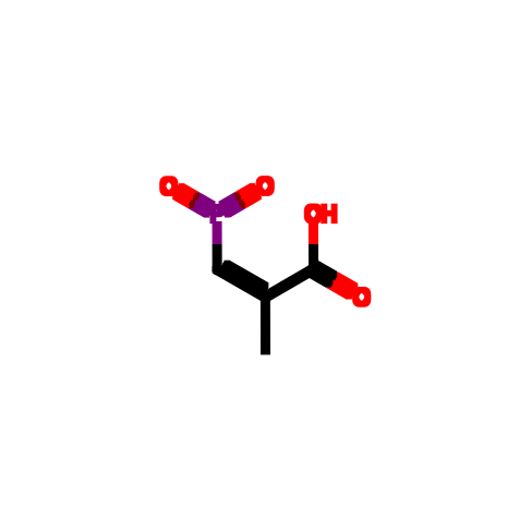 CC(=CP(=O)=O)C(=O)O